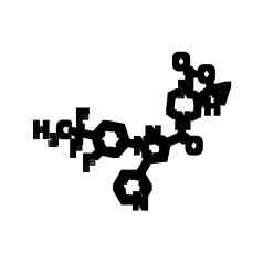 CC(F)(F)c1ccc(-n2nc(C(=O)N3CCN4C(=O)OC5(CC5)[C@@H]4C3)cc2-c2cccnc2)cc1F